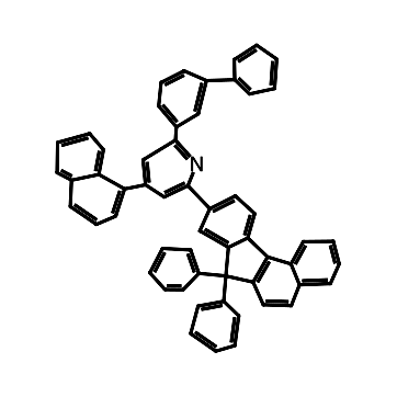 c1ccc(-c2cccc(-c3cc(-c4cccc5ccccc45)cc(-c4ccc5c(c4)C(c4ccccc4)(c4ccccc4)c4ccc6ccccc6c4-5)n3)c2)cc1